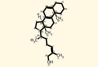 CC(=CCC[C@@H](C)[C@H]1CC[C@H]2C3=C(CC[C@]12C)[C@@]1(C)CCCCC1=CC3)CO